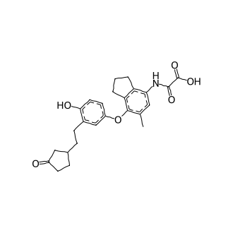 Cc1cc(NC(=O)C(=O)O)c2c(c1Oc1ccc(O)c(CCC3CCC(=O)C3)c1)CCC2